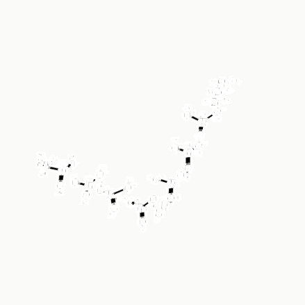 [Li+].[Li+].[O]=[Ti]([O-])[O-].[O]=[Ti]([O-])[O-].[O]=[Ti]([O-])[O-].[O]=[Ti]([O-])[O-].[O]=[Ti]([O-])[O-].[O]=[Ti]([O-])[O-].[O]=[Ti]([O-])[O-].[Pb+2].[Pb+2].[Zr+4].[Zr+4]